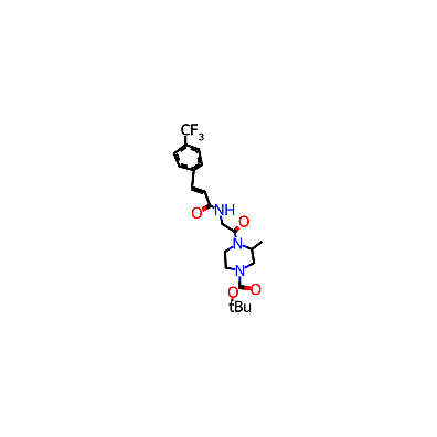 CC1CN(C(=O)OC(C)(C)C)CCN1C(=O)CNC(=O)/C=C/c1ccc(C(F)(F)F)cc1